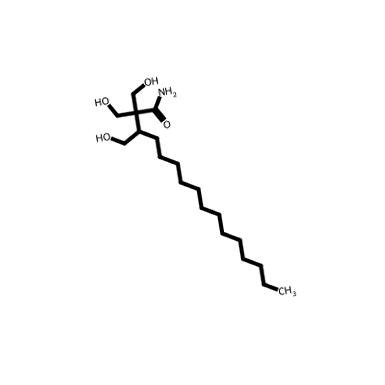 CCCCCCCCCCCCCC(CO)C(CO)(CO)C(N)=O